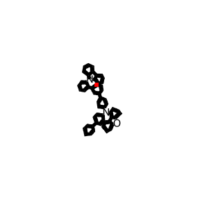 c1ccc(-c2ccc(N(c3ccc(-c4cccc(-c5ccccc5-n5c6ccccc6c6ccccc65)c4)cc3)c3cccc4oc5ccccc5c34)cc2)cc1